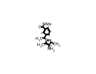 CNC(=O)c1cccc(C(C)n2nc(C)c(N)c2C)c1